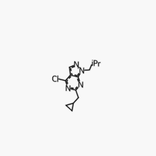 CC(C)Cn1ncc2c(Cl)nc(CC3CC3)nc21